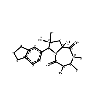 CC1C(S)C(=O)N2C(c3ccc4c(c3)CCC4)[C@@](C)(C#N)CC2(S)C(=O)N1C